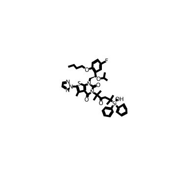 CCCCOc1ccc(F)cc1[C@H](Cn1c(=O)n(C(C)(C)C(=O)CC(C)(C)[Si](O)(c2ccccc2)c2ccccc2)c(=O)c2c(C)c(-n3nccn3)sc21)OC(C)C